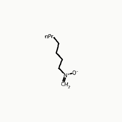 C=[N+]([O-])CCCCCCC